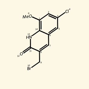 COc1cc(Cl)cc2cc(CBr)c(=O)[nH]c12